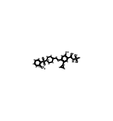 CS(=O)(=O)NC(=O)c1cc(C2CC2)c(OCC2CCN(S(=O)(=O)c3ccccc3C(F)(F)F)CC2)cc1F